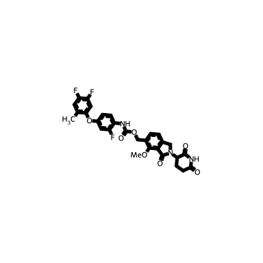 COc1c(COC(=O)Nc2ccc(Oc3cc(F)c(F)cc3C)cc2F)ccc2c1C(=O)N(C1CCC(=O)NC1=O)C2